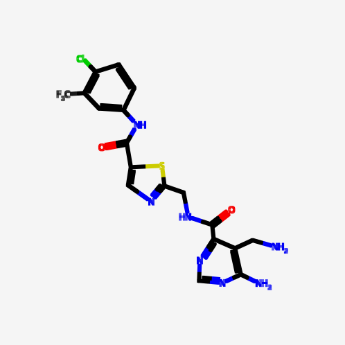 NCc1c(N)ncnc1C(=O)NCc1ncc(C(=O)Nc2ccc(Cl)c(C(F)(F)F)c2)s1